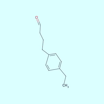 CCc1ccc(CCCC=O)cc1